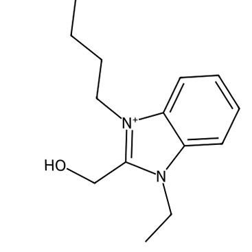 CCCC[n+]1c(CO)n(CC)c2ccccc21